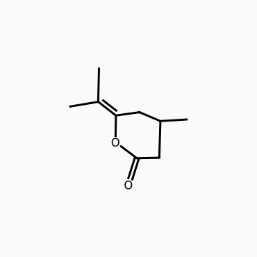 CC(C)=C1CC(C)CC(=O)O1